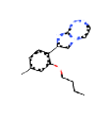 CCCCOc1cc(C)ccc1-c1cn2ccnnc2n1